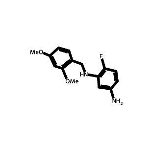 COc1ccc(CNc2cc(N)ccc2F)c(OC)c1